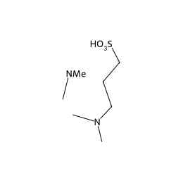 CN(C)CCCS(=O)(=O)O.CNC